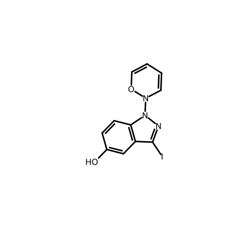 Oc1ccc2c(c1)c(I)nn2N1C=CC=CO1